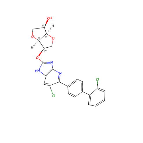 O[C@@H]1CO[C@H]2[C@@H]1OC[C@H]2Oc1nc2nc(-c3ccc(-c4ccccc4Cl)cc3)c(Cl)cc2[nH]1